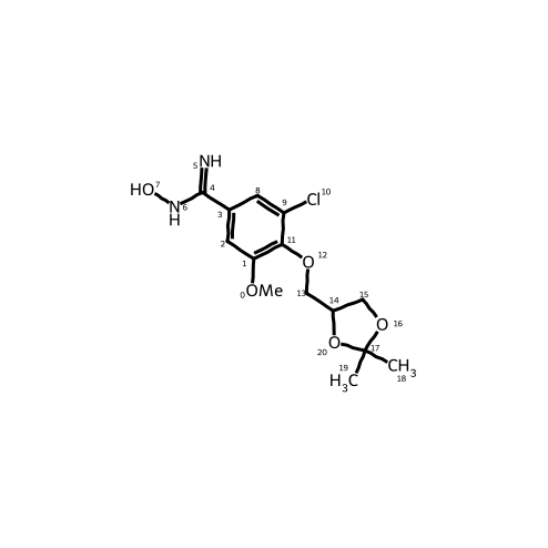 COc1cc(C(=N)NO)cc(Cl)c1OCC1COC(C)(C)O1